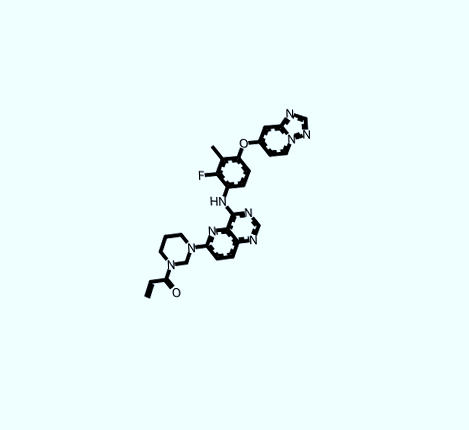 C=CC(=O)N1CCCN(c2ccc3ncnc(Nc4ccc(Oc5ccn6ncnc6c5)c(C)c4F)c3n2)C1